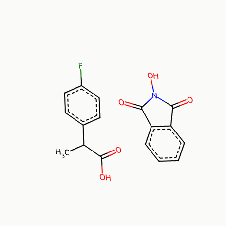 CC(C(=O)O)c1ccc(F)cc1.O=C1c2ccccc2C(=O)N1O